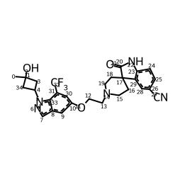 CC1(O)CC(n2ncc3cc(OCCN4CCC5(CC4)C(=O)Nc4ccc(C#N)cc45)cc(C(F)(F)F)c32)C1